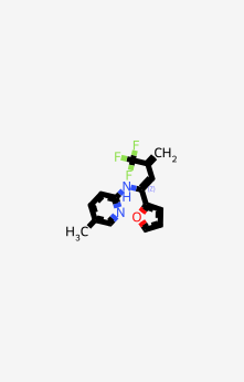 C=C(/C=C(\Nc1ccc(C)cn1)c1ccco1)C(F)(F)F